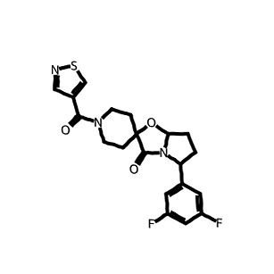 O=C(c1cnsc1)N1CCC2(CC1)OC1CCC(c3cc(F)cc(F)c3)N1C2=O